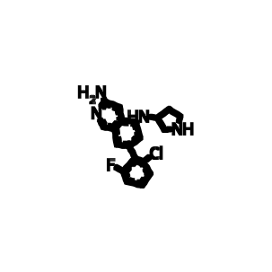 Nc1cc2c(NC3CCNC3)cc(-c3c(F)cccc3Cl)cc2cn1